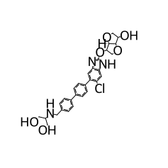 OCC(CO)NCc1ccc(-c2ccc(-c3cc4nc(O[C@@H]5COC6[C@H](O)CO[C@@H]65)[nH]c4cc3Cl)cc2)cc1